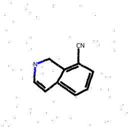 N#Cc1cccc2c1C[N]C=C2